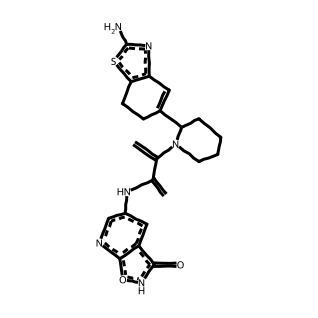 C=C(Nc1cnc2o[nH]c(=O)c2c1)C(=C)N1CCCCC1C1=Cc2nc(N)sc2CC1